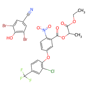 CCOC(=O)C(C)OC(=O)c1cc(Oc2ccc(C(F)(F)F)cc2Cl)ccc1[N+](=O)[O-].N#Cc1cc(Br)c(O)c(Br)c1